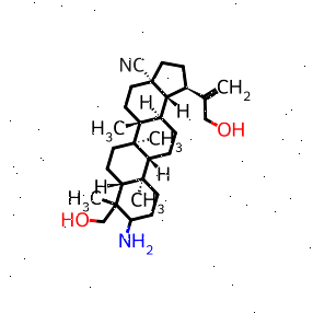 C=C(CO)[C@@H]1CC[C@]2(C#N)CC[C@]3(C)[C@H](CC[C@@H]4[C@@]5(C)CCC(N)C(C)(CO)[C@@H]5CC[C@]43C)[C@@H]12